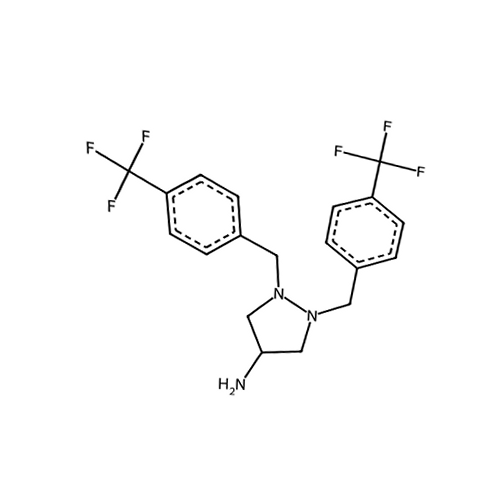 NC1CN(Cc2ccc(C(F)(F)F)cc2)N(Cc2ccc(C(F)(F)F)cc2)C1